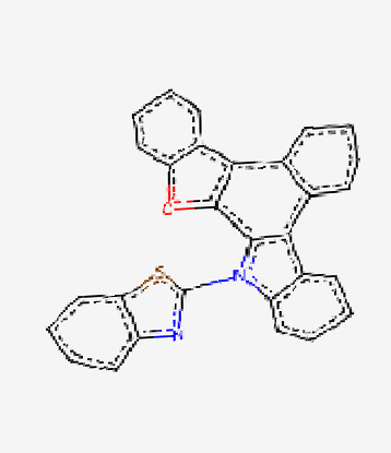 c1ccc2sc(-n3c4ccccc4c4c5ccccc5c5c6ccccc6oc5c43)nc2c1